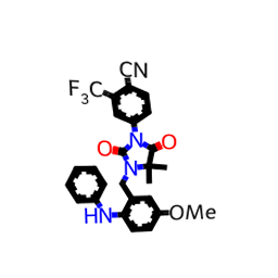 COc1ccc(Nc2ccccc2)c(CN2C(=O)N(c3ccc(C#N)c(C(F)(F)F)c3)C(=O)C2(C)C)c1